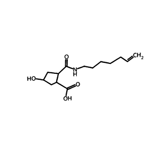 C=CCCCCCNC(=O)C1CC(O)CC1C(=O)O